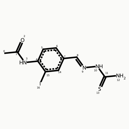 CC(=O)Nc1ccc(C=NNC(N)=S)cc1I